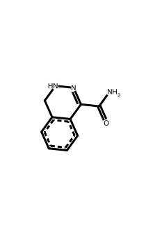 NC(=O)C1=NNCc2ccccc21